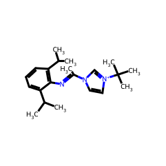 C/C(=N\c1c(C(C)C)cccc1C(C)C)n1cc[n+](C(C)(C)C)c1